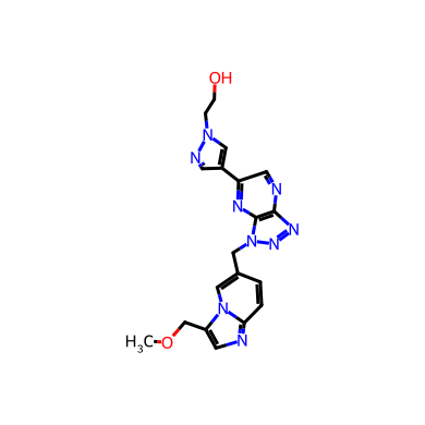 COCc1cnc2ccc(Cn3nnc4ncc(-c5cnn(CCO)c5)nc43)cn12